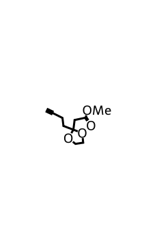 C#CCCC1(CC(=O)OC)OCCO1